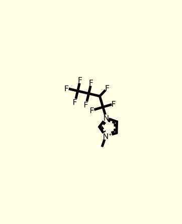 C[n+]1ccn(C(F)(F)C(F)C(F)(F)C(F)(F)F)c1